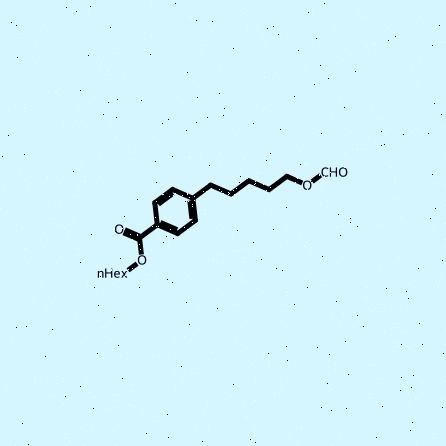 CCCCCCOC(=O)c1ccc(CCCCCOC=O)cc1